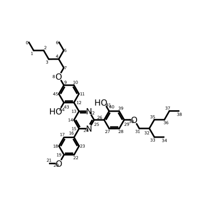 CCCCC(CC)COc1ccc(-c2cc(-c3ccc(OC)cc3)nc(-c3ccc(OCC(CC)CCCC)cc3O)n2)c(O)c1